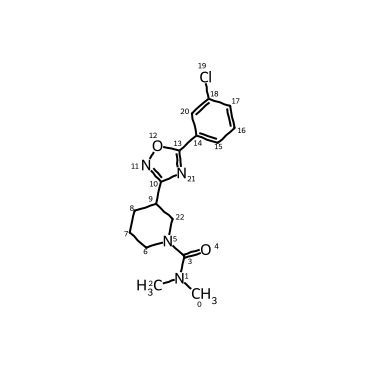 CN(C)C(=O)N1CCCC(c2noc(-c3cccc(Cl)c3)n2)C1